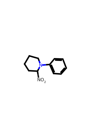 O=[N+]([O-])C1CCCCN1c1ccccc1